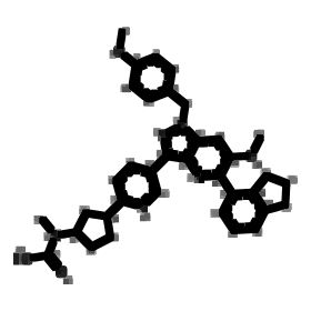 COc1ccc(Cn2nc(-c3ccc(C4CCC(N(C)C(=O)O)C4)nc3)c3nc(-c4cccc5c4CCC5)c(OC)cc32)cc1